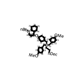 CCCCCCCCCCCC[B-](Cc1ccc(OC)cc1)(Cc1ccc(OC)cc1)Cc1ccc(OC)cc1.CCCC[n+]1cccc2ccccc21